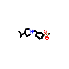 CC(C)C1CCN(Cc2cccc(S(C)(=O)=O)c2)CC1